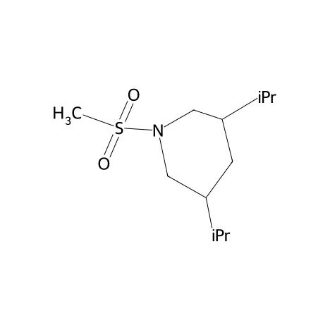 CC(C)C1CC(C(C)C)CN(S(C)(=O)=O)C1